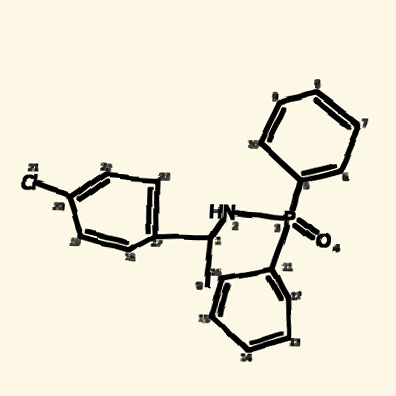 CC(NP(=O)(c1ccccc1)c1ccccc1)c1ccc(Cl)cc1